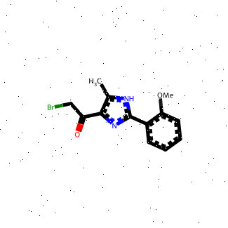 COc1ccccc1-c1nc(C(=O)CBr)c(C)[nH]1